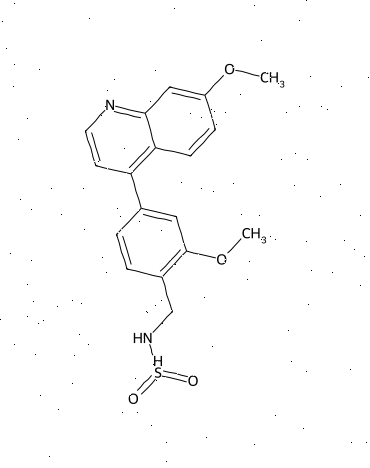 COc1ccc2c(-c3ccc(CN[SH](=O)=O)c(OC)c3)ccnc2c1